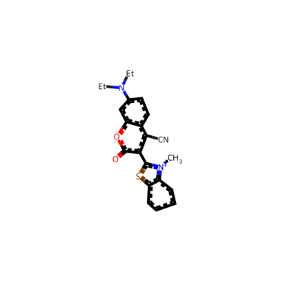 CCN(CC)c1ccc2c(C#N)c(-c3sc4ccccc4[n+]3C)c(=O)oc2c1